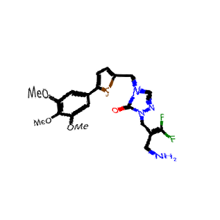 COc1cc(-c2ccc(Cn3cnn(CC(CN)=C(F)F)c3=O)s2)cc(OC)c1OC